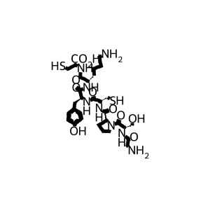 NCCCC[C@H](NC(=O)[C@H](Cc1ccc(O)cc1)NC(=O)[C@H](CS)NC(=O)[C@@H]1CCCN1C(=O)[C@H](CO)NC(=O)CN)C(=O)N[C@@H](CS)C(=O)O